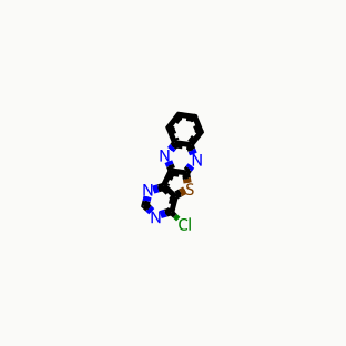 Clc1ncnc2c1sc1nc3ccccc3nc12